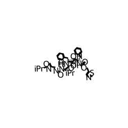 CC(C)c1nc(CN(C)C(=O)N[C@H](C(=O)N[C@@H](Cc2ccccc2)[C@H](O)[C@H](O)[C@H](Cc2ccccc2)NC(=O)OCc2cncs2)C(C)C)co1